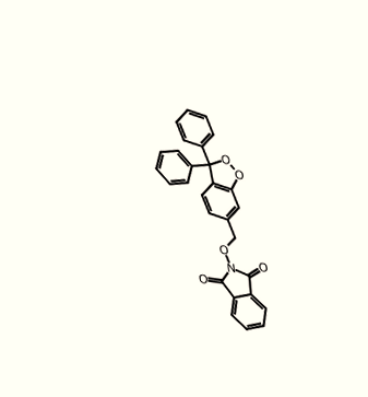 O=C1c2ccccc2C(=O)N1OCc1ccc2c(c1)OOC2(c1ccccc1)c1ccccc1